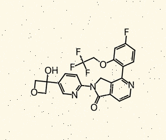 O=C1c2ccnc(-c3ccc(F)cc3OCC(F)(F)F)c2CN1c1ccc(C2(O)COC2)cn1